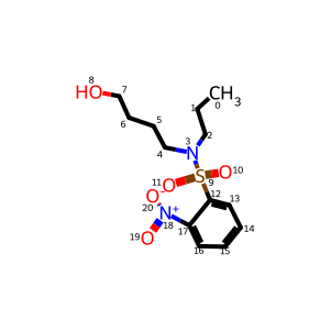 CCCN(CCCCO)S(=O)(=O)c1ccccc1[N+](=O)[O-]